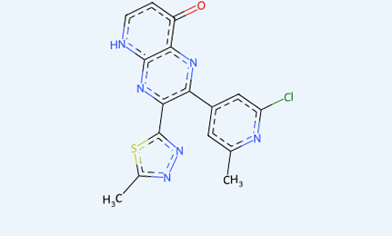 Cc1cc(-c2nc3c(=O)cc[nH]c3nc2-c2nnc(C)s2)cc(Cl)n1